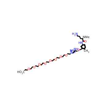 CNC(CCCN)C(=O)Nc1ccc(C)c(COC/C(N)=C/N(N)CCOCCOCCOCCOCCOCCOCCOCCOCCC(=O)O)c1